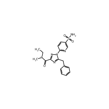 CCN(C)C(=O)c1nc(Cc2ccccc2)n(-c2ccc(S(N)(=O)=O)cn2)n1